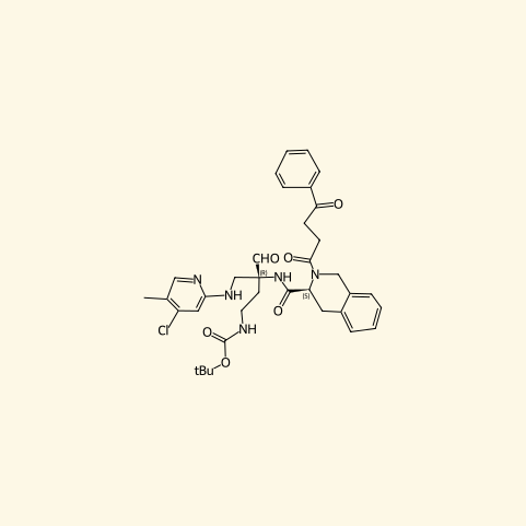 Cc1cnc(NC[C@@](C=O)(CCNC(=O)OC(C)(C)C)NC(=O)[C@@H]2Cc3ccccc3CN2C(=O)CCC(=O)c2ccccc2)cc1Cl